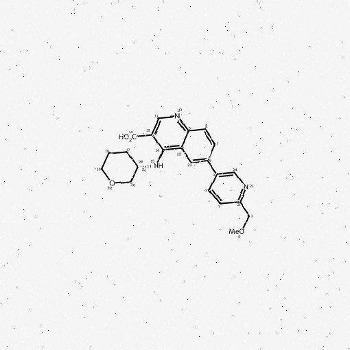 COCc1ccc(-c2ccc3ncc(C(=O)O)c(N[C@H]4CCCOC4)c3c2)cn1